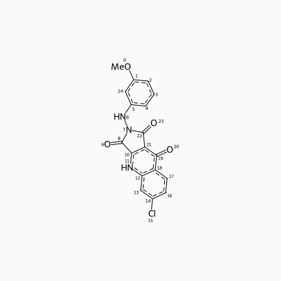 COc1cccc(NN2C(=O)c3[nH]c4cc(Cl)ccc4c(=O)c3C2=O)c1